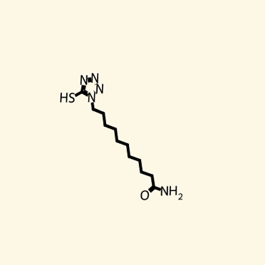 NC(=O)CCCCCCCCCCn1nnnc1S